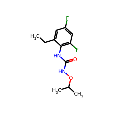 CCc1cc(F)cc(F)c1NC(=O)NOC(C)C